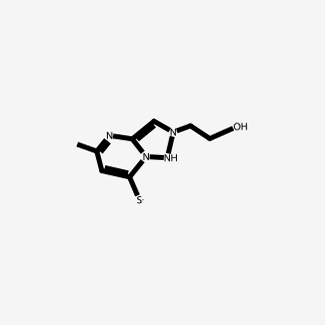 CC1=NC2=CN(CCO)NN2C([S])=C1